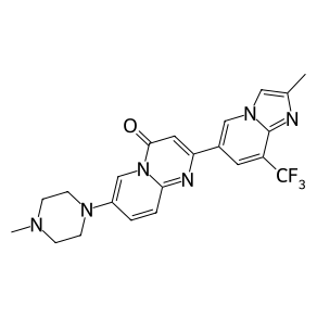 Cc1cn2cc(-c3cc(=O)n4cc(N5CCN(C)CC5)ccc4n3)cc(C(F)(F)F)c2n1